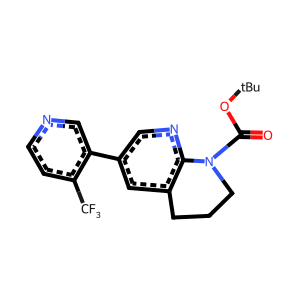 CC(C)(C)OC(=O)N1CCCc2cc(-c3cnccc3C(F)(F)F)cnc21